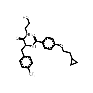 O=C(NC(Cc1ccc(C(F)(F)F)cc1)C(=O)NCCO)c1ccc(OCCC2CC2)cc1